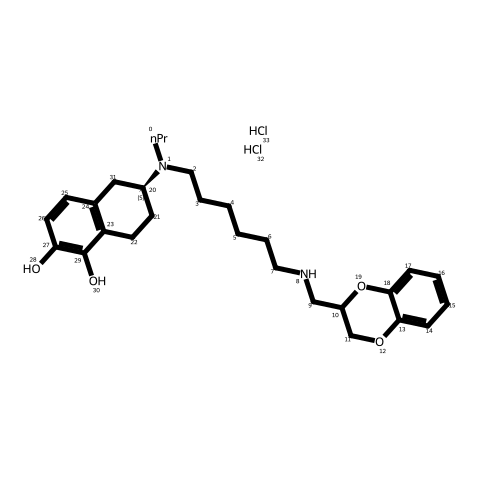 CCCN(CCCCCCNCC1COc2ccccc2O1)[C@H]1CCc2c(ccc(O)c2O)C1.Cl.Cl